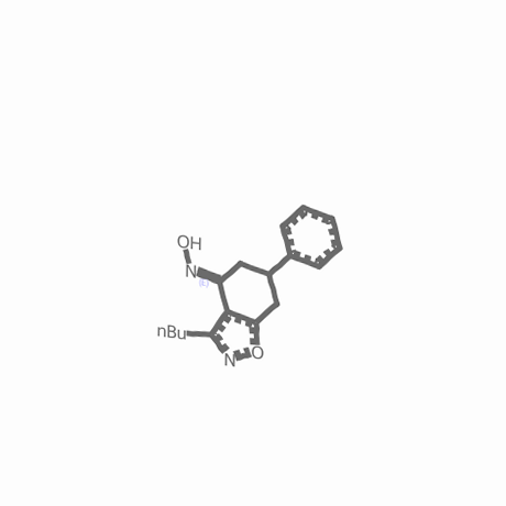 CCCCc1noc2c1/C(=N/O)CC(c1ccccc1)C2